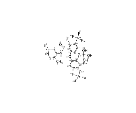 Cc1cnc(Br)cc1NC(=O)c1c(Oc2ccc(OC(F)(F)F)c(F)c2OC(O)(O)O)ccc(C(F)(F)F)c1F